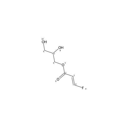 O=C(C=CF)OCC(O)CO